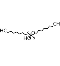 O=CCCCCCCCOP(O)(=S)SCCCCCCCC=O